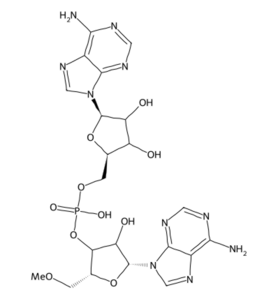 COC[C@H]1O[C@@H](n2cnc3c(N)ncnc32)C(O)C1OP(=O)(O)OC[C@H]1O[C@@H](n2cnc3c(N)ncnc32)C(O)C1O